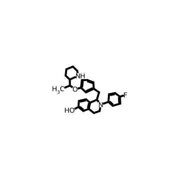 CC(Oc1cccc(CC2c3ccc(O)cc3CCN2c2ccc(F)cc2)c1)C1CCCCN1